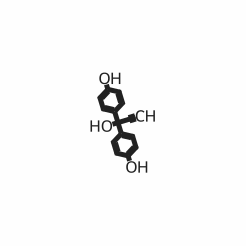 C#CC(O)(c1ccc(O)cc1)c1ccc(O)cc1